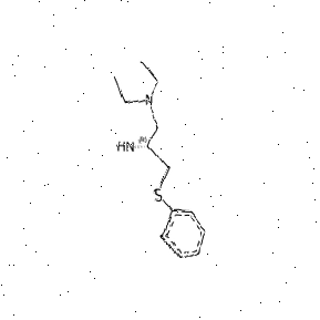 CCN(CC)C[C@@H]([NH])CSc1ccccc1